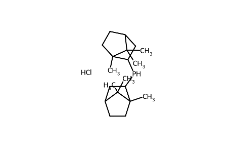 CC1(C)C2CCC1(C)C(PC1CC3CCC1(C)C3(C)C)C2.Cl